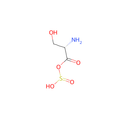 N[C@@H](CO)C(=O)OS(=O)O